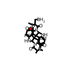 BCC12SSC3(C(=O)N1C)C(O)C1(C45c6ccccc6NC4N4C(=O)C6(C)SSC4(C(=O)N6C)C5O)c4ccccc4NC1N3C2=O